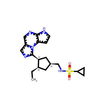 CC[C@@H]1C[C@H](CNS(=O)(=O)C2CC2)C[C@@H]1c1ncc2cnc3[nH]ccc3n12